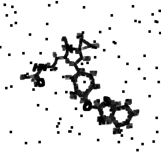 CC(=O)NCCCN(C)C1(CCc2ccc(Oc3nc4ccccc4s3)cc2)CC1